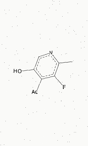 CC(=O)c1c(O)cnc(C)c1F